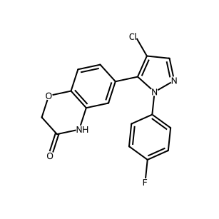 O=C1COc2ccc(-c3c(Cl)cnn3-c3ccc(F)cc3)cc2N1